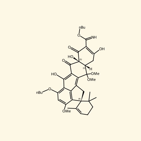 CCCCOC(=N)C1=C(O)C[C@@H]2C(OC)(OC)c3c(c(O)c4c(OCCCC)cc(OC)c5c4c3C[C@@]53C(C)=CCCC3(C)C)C(=O)[C@]2(O)C1=O